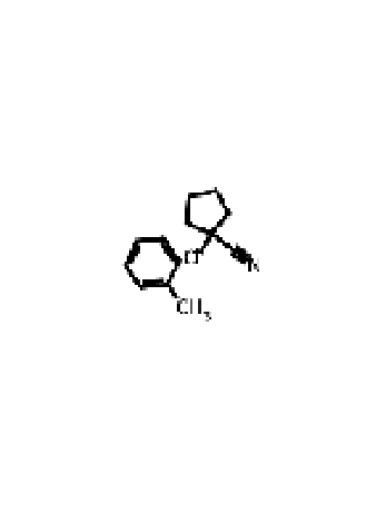 Cc1ccccc1.N#CC1(Cl)CCCC1